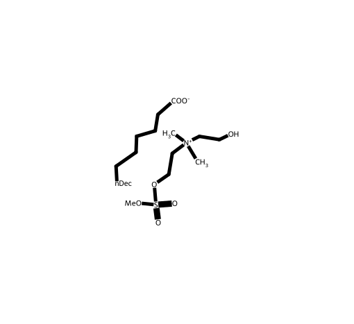 CCCCCCCCCCCCCCCC(=O)[O-].COS(=O)(=O)OCC[N+](C)(C)CCO